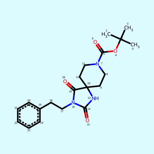 CC(C)(C)OC(=O)N1CCC2(CC1)NC(=O)N(CCc1ccccc1)C2=O